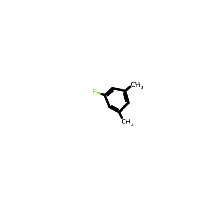 Cc1cc(C)cc(F)c1